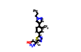 CC(C)CCn1cc(-c2ccc(-c3nnc([C@@](C)(N)CO)s3)cc2C(F)(F)F)cn1